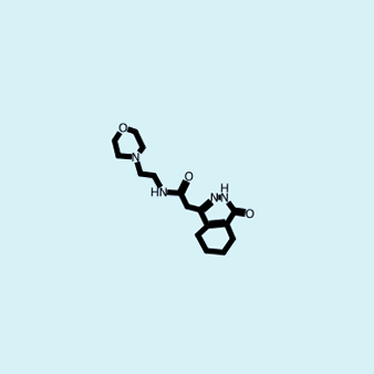 O=C(Cc1n[nH]c(=O)c2c1CCCC2)NCCN1CCOCC1